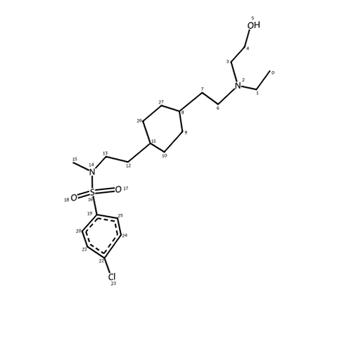 CCN(CCO)CCC1CCC(CCN(C)S(=O)(=O)c2ccc(Cl)cc2)CC1